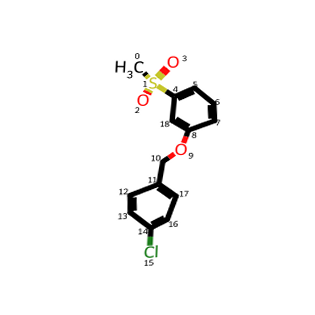 CS(=O)(=O)c1cccc(OCc2ccc(Cl)cc2)c1